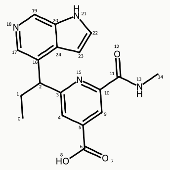 CCC(c1cc(C(=O)O)cc(C(=O)NC)n1)c1cncc2[nH]ccc12